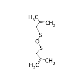 C=C(C)CSOSCC(=C)C